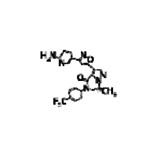 C[C@H]1CN(c2ccc(C(F)(F)F)cc2)C(=O)c2c(-c3cc(-c4ccc(N)nc4)no3)cnn21